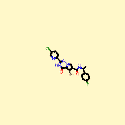 CC(C)c1c(C(=O)NC(C)c2ccc(F)cc2)cn2nc(-c3ccc(Cl)cn3)[nH]c(=O)c12